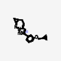 CCCCN1N=C2CC2CC=C1/C=C/c1cccc(OCC2CC2)c1